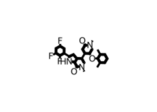 Cc1cccc(C)c1Oc1cn(C)c(=O)cc1-c1cn(C)c(=O)c2[nH]c(-c3cc(F)cc(F)c3F)cc12